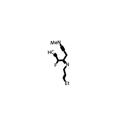 C#CC(F)/C(CC#CNC)=N\CC=CCC